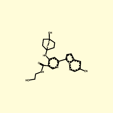 N#Cc1cnn2c(-c3cc(NC45CCC(O)(CC4)CC5)c(C(=O)NCCO)cn3)ccc2c1